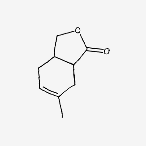 CC1=CCC2COC(=O)C2C1